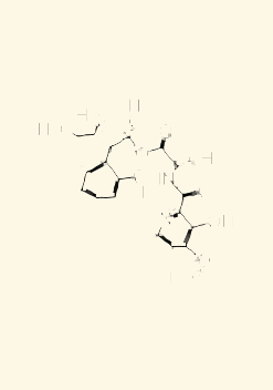 CCC(C)[C@@H](c1ccccc1C)[C@H](C)OC(=O)[C@H](C)NC(=O)c1nccc(OC)c1O